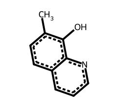 Cc1ccc2cccnc2c1O